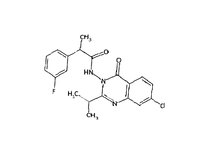 CC(C)c1nc2cc(Cl)ccc2c(=O)n1NC(=O)C(C)c1cccc(F)c1